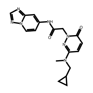 CN(CC1CC1)c1ccc(=O)n(CC(=O)Nc2ccn3ncnc3c2)n1